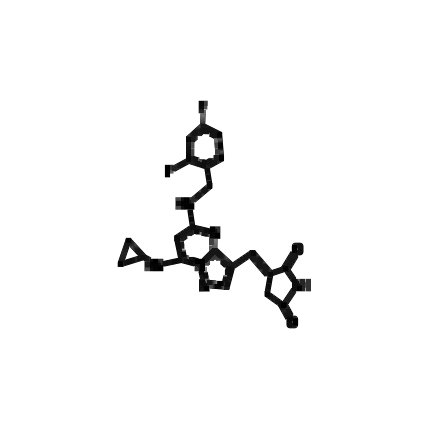 O=C1C/C(=C\c2cnn3c(NC4CC4)cc(NCc4ccc(F)cc4F)nc23)C(=O)N1